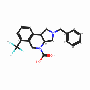 O=C(O)N1Cc2c(cccc2C(F)(F)F)C2CN(Cc3ccccc3)CC21